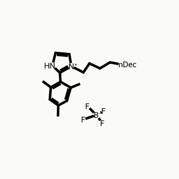 CCCCCCCCCCCCCC[n+]1cc[nH]c1-c1c(C)cc(C)cc1C.F[B-](F)(F)F